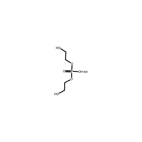 O=P(O)(OCCO)OCCO.[KH]